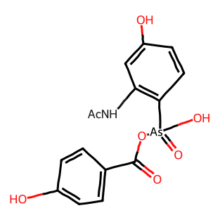 CC(=O)Nc1cc(O)ccc1[As](=O)(O)OC(=O)c1ccc(O)cc1